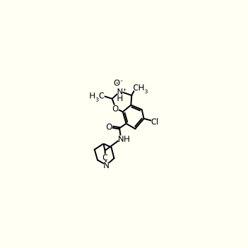 CC1Oc2c(C(=O)NC3CN4CCC3CC4)cc(Cl)cc2C(C)[NH+]1[O-]